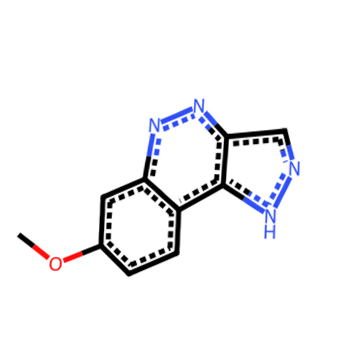 COc1ccc2c(c1)nnc1cn[nH]c12